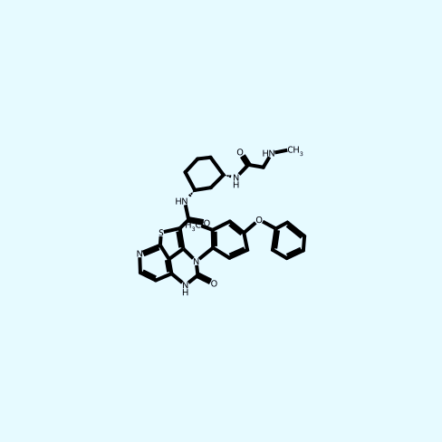 CNCC(=O)N[C@H]1CCC[C@@H](NC(=O)c2sc3nccc4c3c2N(c2ccc(Oc3ccccc3)cc2C)C(=O)N4)C1